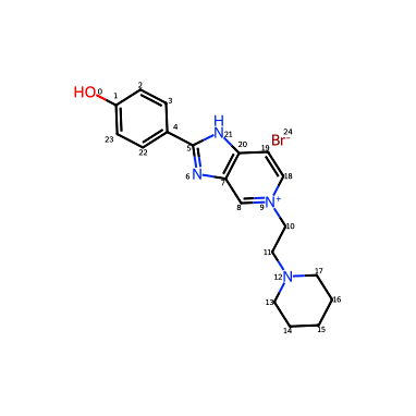 Oc1ccc(-c2nc3c[n+](CCN4CCCCC4)ccc3[nH]2)cc1.[Br-]